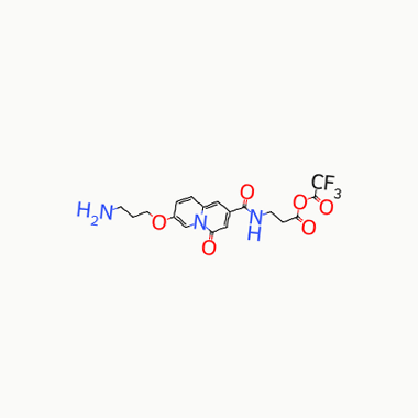 NCCCOc1ccc2cc(C(=O)NCCC(=O)OC(=O)C(F)(F)F)cc(=O)n2c1